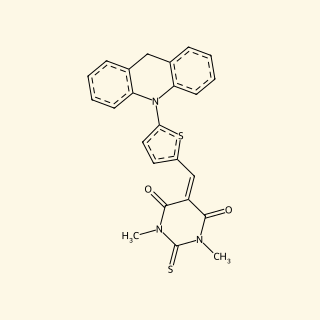 CN1C(=O)C(=Cc2ccc(N3c4ccccc4Cc4ccccc43)s2)C(=O)N(C)C1=S